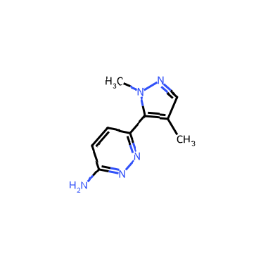 Cc1cnn(C)c1-c1ccc(N)nn1